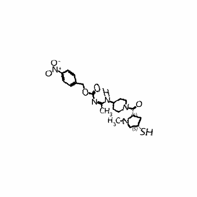 CC(=NC(=O)OCc1ccc([N+](=O)[O-])cc1)NC1CCN(C(=O)[C@@H]2C[C@H](S)CN2C)CC1